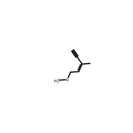 C#CC(C)=CCON